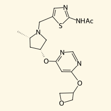 CC(=O)Nc1ncc(CN2C[C@H](Oc3cc(OC4COC4)ncn3)C[C@@H]2C)s1